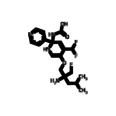 CC(C)CC(N)(CF)COC1=CNC(NC(=O)O)(c2ccncc2)C=C1C(F)F